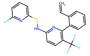 C=Cc1ccccc1-c1nc(NSc2cccc(F)n2)ccc1C(F)(F)F